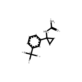 NC(=O)NC1(c2cccc(C(F)(F)F)c2)CC1